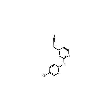 N#CCc1ccnc(Oc2ccc(Cl)cc2)c1